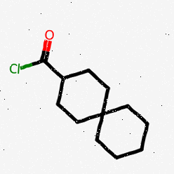 O=C(Cl)C1CCC2(CCCCC2)CC1